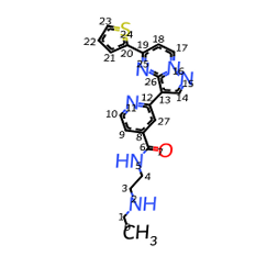 CCNCCNC(=O)c1ccnc(-c2cnn3ccc(-c4cccs4)nc23)c1